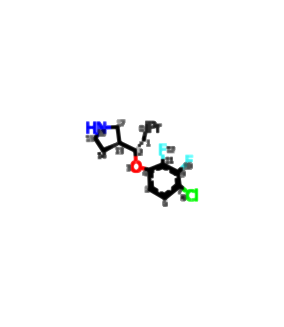 CC(C)C[C@H](Oc1ccc(Cl)c(F)c1F)[C@H]1CCNC1